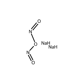 O=NON=O.[NaH].[NaH]